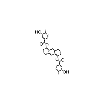 Cc1ccc(C(=O)Oc2cccc3cc4c(OC(=O)c5ccc(C)c(O)c5)cccc4cc23)cc1O